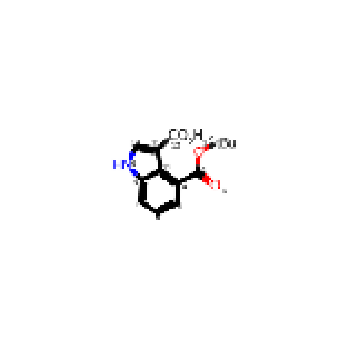 CC(C)(C)OC(=O)c1cccc2[nH]cc(C(=O)O)c12